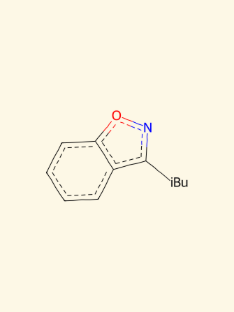 CCC(C)c1noc2ccccc12